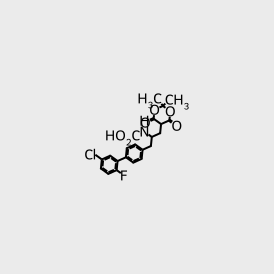 CC1(C)OC(=O)C(CC(Cc2ccc(-c3cc(Cl)ccc3F)cc2)NC(=O)O)C(=O)O1